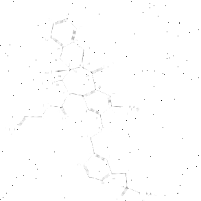 C=CCOC(=O)N1c2cc(OCc3cccc(CC(=O)OC)c3)c(OC)cc2C(=O)N2Cc3ccccc3C[C@H]2C1O